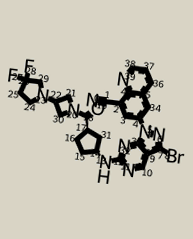 N#Cc1cc(-n2nc(Br)c3cnc(N[C@@H]4CC[C@@H](C(=O)N5CC(N6CCC(F)(F)C6)C5)C4)nc32)cc2cccnc12